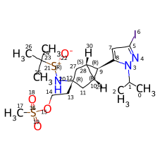 CC(C)n1nc(I)cc1[C@H]1[C@@H]2C[C@](CCOS(C)(=O)=O)(N[S@@+]([O-])C(C)(C)C)C[C@@H]21